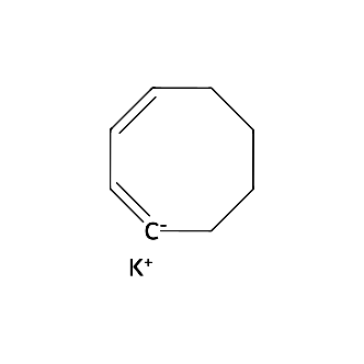 [C-]1=CC=CCCCC1.[K+]